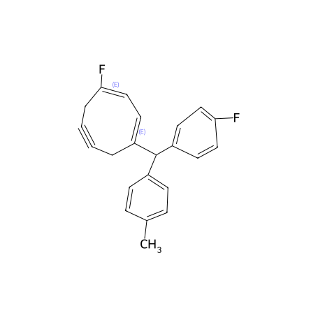 Cc1ccc(C(/C2=C/C=C(/F)CC#CC2)c2ccc(F)cc2)cc1